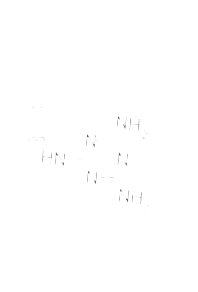 Nc1nc(N)nc(Nc2ccccc2)n1